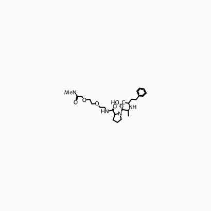 CNC(=O)COCCOCCNC(=O)C1CCCN1C(=O)C(C)NC(CCc1ccccc1)C(=O)O